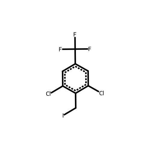 FC(F)(F)c1cc(Cl)c(CI)c(Cl)c1